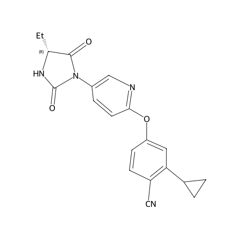 CC[C@H]1NC(=O)N(c2ccc(Oc3ccc(C#N)c(C4CC4)c3)nc2)C1=O